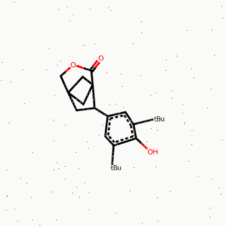 CC(C)(C)c1cc(C2CC34COC(=O)C2(C3)C4)cc(C(C)(C)C)c1O